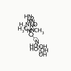 CCn1c(CN(C=O)c2nc3cc[nH]c3nc2N)[n+](CC)c2ccc(C3CCN(C[C@H](O)[C@@H](O)[C@H](O)[C@H](O)CO)CC3)cc21